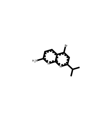 CC(C)c1cc(Br)c2ccc(N)nc2n1